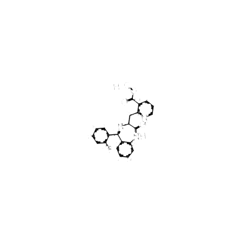 COC(=O)c1cccnc1CC1N=C(c2ccccc2F)c2ccccc2NC1=O